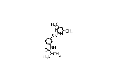 C=C(C)C(=O)Nc1cccc(SNc2nc(C)cc(C)n2)c1